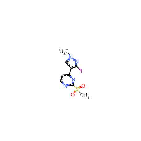 Cn1cc(-c2ccnc(S(C)(=O)=O)n2)c(I)n1